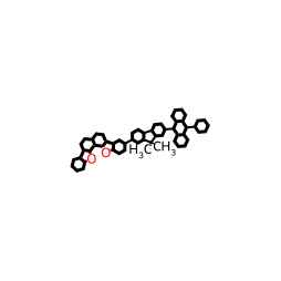 CC1(C)c2cc(-c3ccc4oc5c(ccc6ccc7c8ccccc8oc7c65)c4c3)ccc2-c2ccc(-c3c4ccccc4c(-c4ccccc4)c4ccccc34)cc21